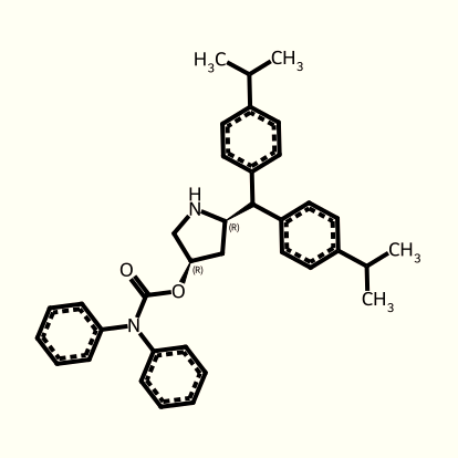 CC(C)c1ccc(C(c2ccc(C(C)C)cc2)[C@H]2C[C@@H](OC(=O)N(c3ccccc3)c3ccccc3)CN2)cc1